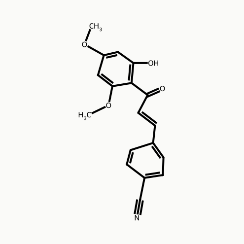 COc1cc(O)c(C(=O)C=Cc2ccc(C#N)cc2)c(OC)c1